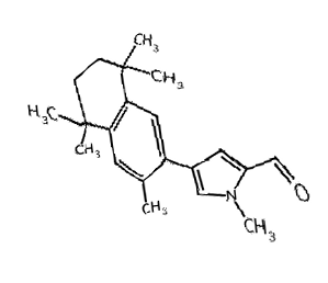 Cc1cc2c(cc1-c1cc(C=O)n(C)c1)C(C)(C)CCC2(C)C